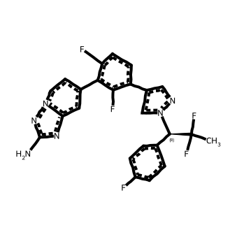 CC(F)(F)[C@@H](c1ccc(F)cc1)n1cc(-c2ccc(F)c(-c3ccn4nc(N)nc4c3)c2F)cn1